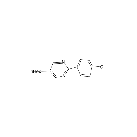 CCCCCCc1cnc(-c2ccc(O)cc2)nc1